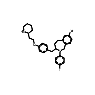 Oc1ccc2c(c1)CCC(Cc1ccc(OCCC3CCCCN3)cc1)N(c1ccc(F)cc1)C2